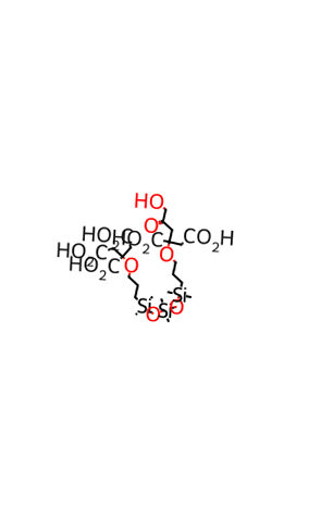 C[Si](C)(CCCOC(CC(=O)O)(CC(=O)O)C(=O)O)O[Si](C)(C)O[Si](C)(C)CCCOC(CC(=O)O)(CC(=O)CO)C(=O)O